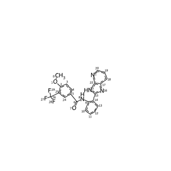 COc1ccc(C(=O)Nc2ccccc2-c2nc3cccnc3[nH]2)cc1C(F)(F)F